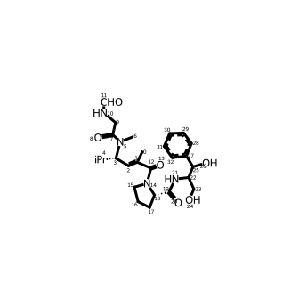 C/C(=C\[C@H](C(C)C)N(C)C(=O)CNC=O)C(=O)N1CCC[C@H]1C(=O)NC(CO)C(O)c1ccccc1